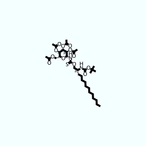 CCCCCCCCCCCC[C@H](COC(=S)N[C@@H]1O[C@H](COC(C)=O)[C@@H](OC(C)=O)[C@H](OC(C)=O)[C@H]1OC(C)=O)NC(=O)OC(C)(C)C